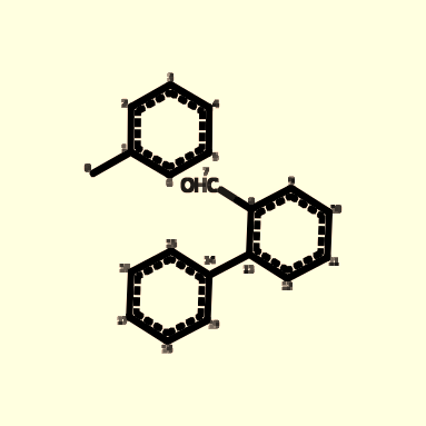 Cc1ccccc1.O=Cc1ccccc1-c1ccccc1